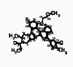 C=CC(=O)N1Cc2cc(-c3nc(-c4ccn(C)c(=O)c4)c4ccsc4c3-c3c(F)cc(F)cc3OCCOC)nn2CC1C